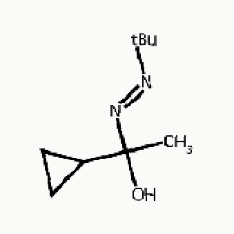 CC(C)(C)N=NC(C)(O)C1CC1